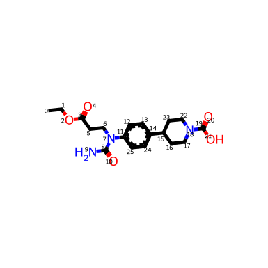 CCOC(=O)CCN(C(N)=O)c1ccc(C2CCN(C(=O)O)CC2)cc1